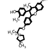 CC1=C(c2ccc(O)c(C)c2)C(c2ccc(OC[C@H](C)N3CC[C@@H](C)C3)cc2)Oc2ccc(O)cc21